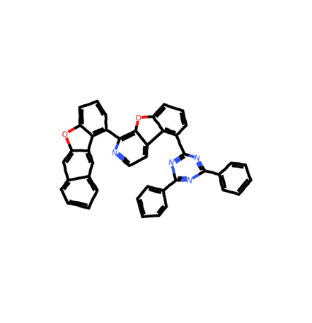 c1ccc(-c2nc(-c3ccccc3)nc(-c3cccc4oc5c(-c6cccc7oc8cc9ccccc9cc8c67)nccc5c34)n2)cc1